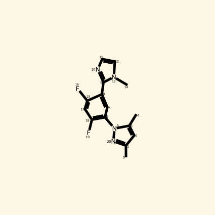 Cc1cc(C)n(-c2cc(-c3nccn3C)c(F)cc2F)n1